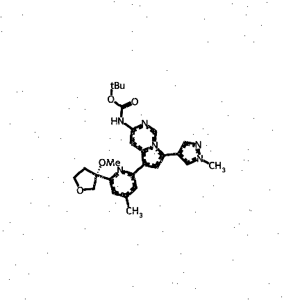 CO[C@@]1(c2cc(C)cc(-c3cc(-c4cnn(C)c4)n4cnc(NC(=O)OC(C)(C)C)cc34)n2)CCOC1